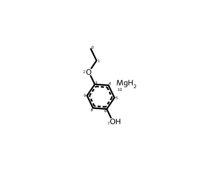 CCOc1ccc(O)cc1.[MgH2]